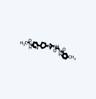 CC(=O)Nc1ccc(C2CCC(N3CC(NC(=O)CNC(=O)c4cccc(C)c4)C3)CC2)nc1